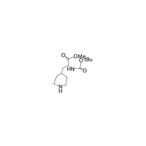 COC(=O)C(CC1CCNCC1)NC(=O)OC(C)(C)C